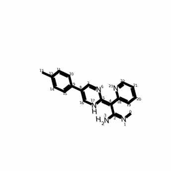 C/N=C(N)\C(=C1\N=CC(c2ccc(C)cc2)=CN1)c1ccccn1